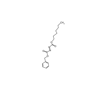 CCCCCCCOC(=O)/N=N/C(=O)OCc1ccccc1